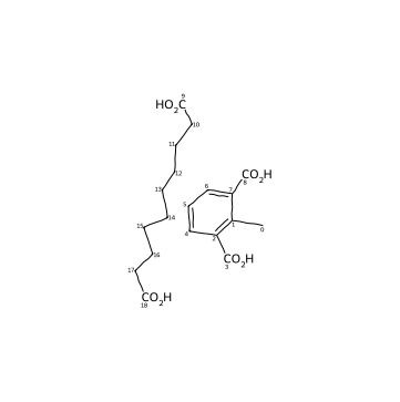 Cc1c(C(=O)O)cccc1C(=O)O.O=C(O)CCCCCCCCC(=O)O